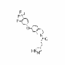 O=C(CCc1cn[nH]c1)N1CCc2ccc(Oc3ccc(C(F)(F)F)c(F)c3)cc2C1